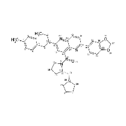 CCN(Cc1ccc(C)cc1)c1cc(C(=O)N2CCC[C@H]2CN2CCCC2)c2cc(-c3ccc4c(c3)OCO4)ccc2n1